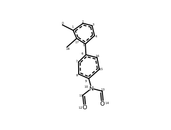 Cc1cccc(-c2ccc(N(C=O)C=O)cc2)c1C